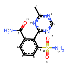 Cc1ncnc(-c2c(C(N)=O)cccc2S(N)(=O)=O)n1